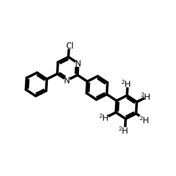 [2H]c1c([2H])c([2H])c(-c2ccc(-c3nc(Cl)cc(-c4ccccc4)n3)cc2)c([2H])c1[2H]